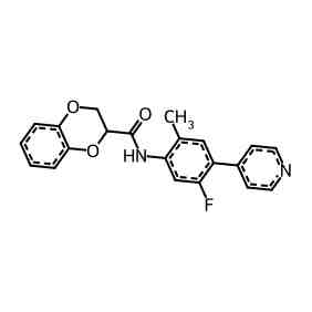 Cc1cc(-c2ccncc2)c(F)cc1NC(=O)C1COc2ccccc2O1